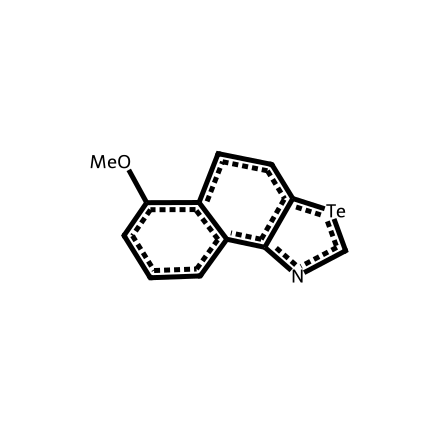 COc1cccc2c1ccc1[te]cnc12